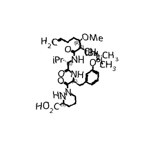 C=CCC[C@@H](OC)[C@@H](C)C(=O)N[C@H](C(=O)N[C@@H](Cc1cccc(O[Si](C)(C)C(C)(C)C)c1)C(=O)N1CCC[C@@H](C(=O)O)N1)C(C)C